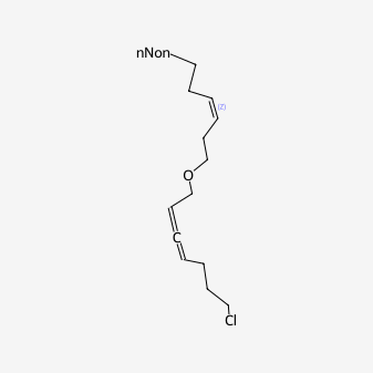 CCCCCCCCCCC/C=C\CCOCC=C=CCCCCl